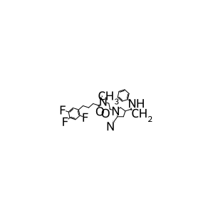 C=C(Nc1ccccc1)C1CC(C#N)N(C(=O)CN(C)C(=O)CCCc2cc(F)c(F)cc2F)C1